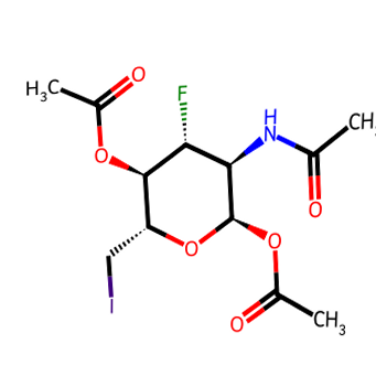 CC(=O)N[C@H]1[C@@H](OC(C)=O)O[C@H](CI)[C@@H](OC(C)=O)[C@@H]1F